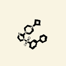 O=S(=O)(c1cccc(-c2ccccc2)c1)N1CCN=C1N1CCN(C2CCC2)CC1